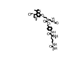 CNC(=O)NCCC[C@H](NC)C(=O)Nc1ccc(COC(=O)N(CCNC=O)CCOc2cc3c(c4c(C)csc24)[C@@H](CCl)CN3C)cc1